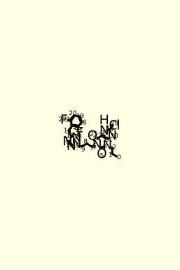 CCCn1c(=O)n(CCCn2nnc(Cc3c(F)cccc3F)n2)c(=O)c2[nH]c(Cl)nc21